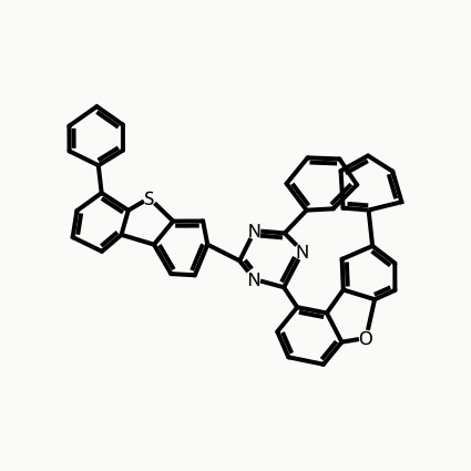 c1ccc(-c2ccc3oc4cccc(-c5nc(-c6ccccc6)nc(-c6ccc7c(c6)sc6c(-c8ccccc8)cccc67)n5)c4c3c2)cc1